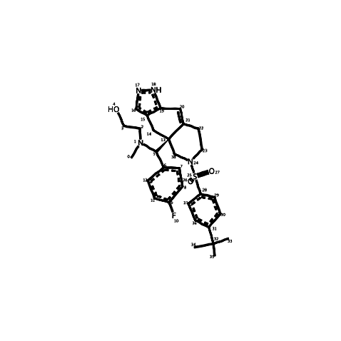 CN(CCO)C(c1ccc(F)cc1)[C@@]12Cc3cn[nH]c3C=C1CCN(S(=O)(=O)c1ccc(C(C)(C)C)cc1)C2